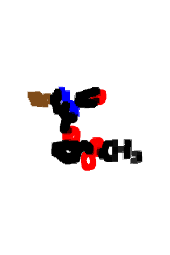 CCOC(=O)Cc1ccccc1OCc1cn(C2CCOC2)c2ncc(Br)cc12